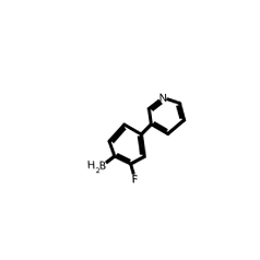 Bc1ccc(-c2cccnc2)cc1F